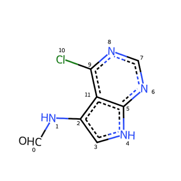 O=CNc1c[nH]c2ncnc(Cl)c12